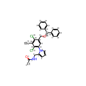 CCC(=O)NCc1cccn1-c1cc(CO[SiH](c2ccccc2)c2ccccc2)c(Cl)c(C(C)(C)C)c1Cl